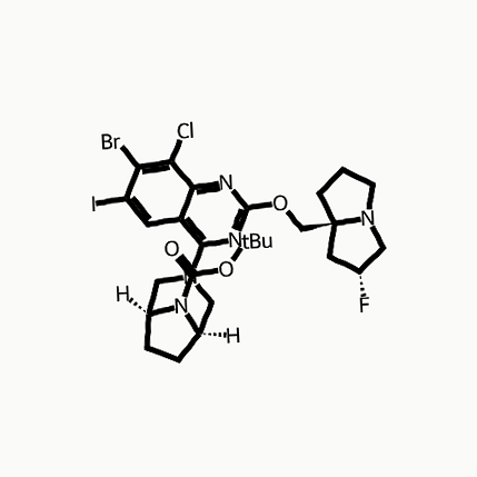 CC(C)(C)OC(=O)N1[C@@H]2CC[C@H]1CN(c1nc(OC[C@@]34CCCN3C[C@H](F)C4)nc3c(Cl)c(Br)c(I)cc13)C2